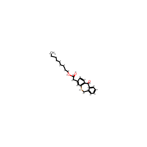 CCCCCCCCCOC(=O)Cc1ccc2c(c1)SCc1ccccc1C2=O